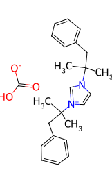 CC(C)(Cc1ccccc1)n1cc[n+](C(C)(C)Cc2ccccc2)c1.O=C([O-])O